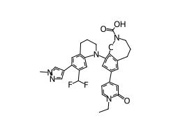 CCn1ccc(-c2cc3c(c(N4CCCc5cc(-c6cnn(C)c6)c(C(F)F)cc54)c2)CN(C(=O)O)CCC3)cc1=O